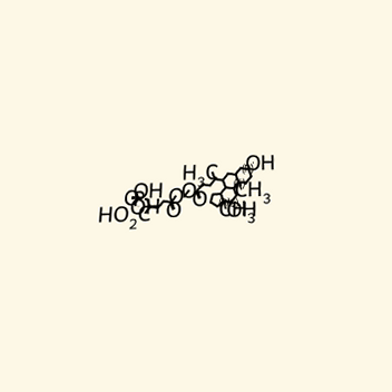 CC(CCC(=O)OCOC(=O)CCC(CP(=O)(O)O)C(=O)O)C1CC2C[C@H](O)CC[C@]2(C)C2C[C@H](O)[C@]3(C)CCCC3C12